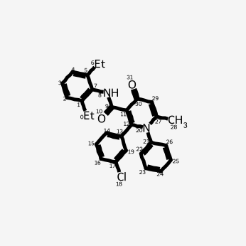 CCc1cccc(CC)c1NC(=O)c1c(-c2cccc(Cl)c2)n(-c2ccccc2)c(C)cc1=O